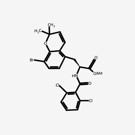 COC(=O)[C@H](Cc1ccc(Br)c2c1C=CC(C)(C)O2)NC(=O)c1c(Cl)cccc1Cl